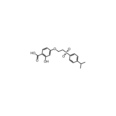 CC(C)c1ccc(S(=O)(=O)CCOc2ccc(C(=O)O)c(O)c2)cc1